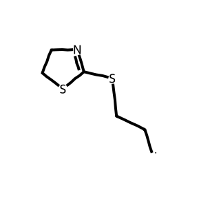 [CH2]CCSC1=NCCS1